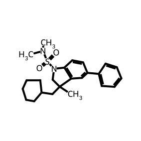 CN(C)S(=O)(=O)N1CC(C)(CC2CCCCC2)c2cc(-c3ccccc3)ccc21